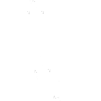 C=CS/C(=C\N)c1nc(C(C)(c2ccc(-c3cnc(N)nc3)cc2)C(C)C)no1